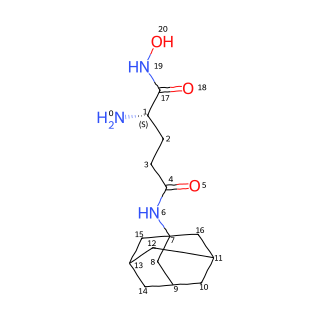 N[C@@H](CCC(=O)NC12CC3CC(CC(C3)C1)C2)C(=O)NO